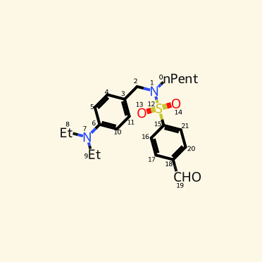 CCCCCN(Cc1ccc(N(CC)CC)cc1)S(=O)(=O)c1ccc(C=O)cc1